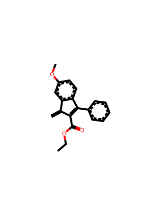 C=C1C(C(=O)OCC)=C(c2ccccc2)c2ccc(OC)cc21